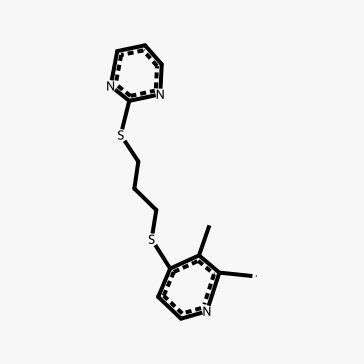 [CH2]c1nccc(SCCCSc2ncccn2)c1C